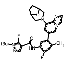 Cc1cc(F)c(NC(=O)c2cnn(C(C)(C)C)c2F)cc1-c1cc(N2CC3CCC(C2)O3)c2nccn2c1